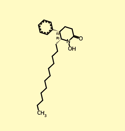 CCCCCCCCCCCC[C@@H]1[C@H](c2ccccc2)CCC(=O)N1O